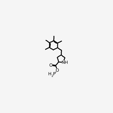 CC1=C(C)C(C)=C(C)C(CC2CNC(C(=O)OP)C2)C1